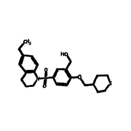 CCc1ccc2c(c1)CCCN2S(=O)(=O)c1ccc(OCC2CCSCC2)c(CO)c1